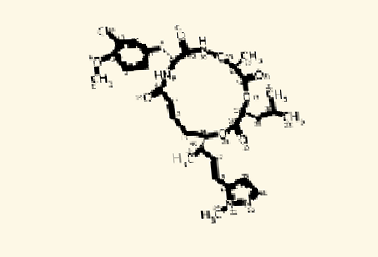 COc1ccc(C[C@H]2NC(=O)/C=C/C[C@@H](C(C)/C=C/c3ccnn3C)OC(=O)[C@H](CC(C)C)OC(=O)[C@H](C)CNC2=O)cc1Cl